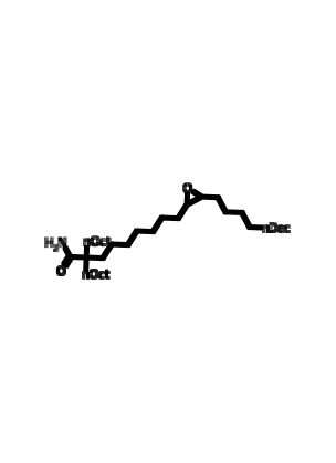 CCCCCCCCCCCCCCC1OC1CCCCCCCC(CCCCCCCC)(CCCCCCCC)C(N)=O